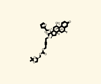 C[C@@H]1C[C@H]2[C@@H]3C[C@H](F)C4=CC(=O)C=C[C@]4(C)[C@@]3(F)[C@@H](O)C[C@]2(C)[C@@]1(OC(=O)c1ccco1)C(=O)SCC#CCOC(=O)OC[C@H]1COC(C)(C)O1